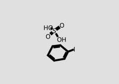 Ic1ccccc1.O=S(=O)(O)O